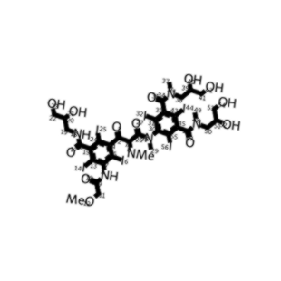 CNC(C(=O)c1c(I)c(NC(=O)COC)c(I)c(C(=O)NCC(O)CO)c1I)C(=O)N(C)c1c(I)c(C(=O)N(C)CC(O)CO)c(I)c(C(=O)N(C)CC(O)CO)c1I